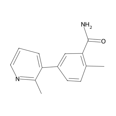 Cc1ccc(-c2cccnc2C)cc1C(N)=O